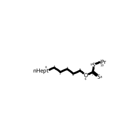 CCCCCCCCCCCCOC(=S)SC(C)C